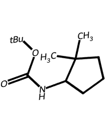 CC(C)(C)OC(=O)NC1CCCC1(C)C